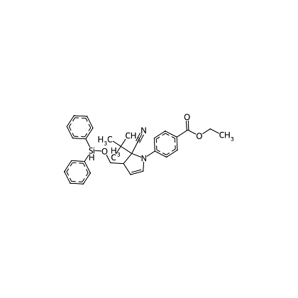 CCOC(=O)c1ccc(N2C=CC(CO[SiH](c3ccccc3)c3ccccc3)C2(C#N)C(C)(C)C)cc1